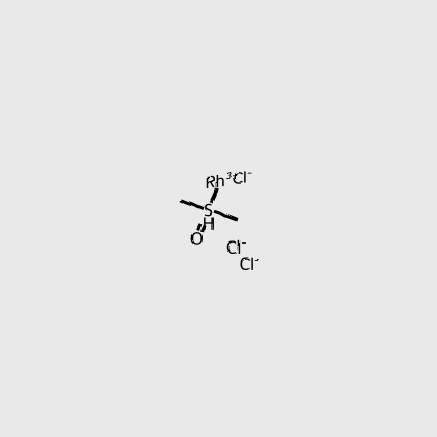 C[SH](C)(=O)[Rh+3].[Cl-].[Cl-].[Cl-]